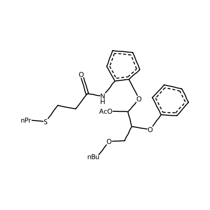 CCCCOCC(Oc1ccccc1)C(OC(C)=O)Oc1ccccc1NC(=O)CCSCCC